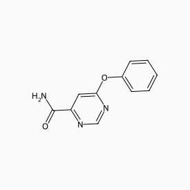 NC(=O)c1cc(Oc2ccccc2)ncn1